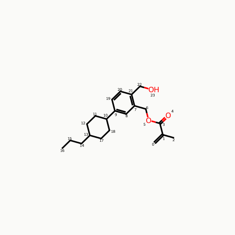 C=C(C)C(=O)OCc1cc(C2CCC(CCC)CC2)ccc1CO